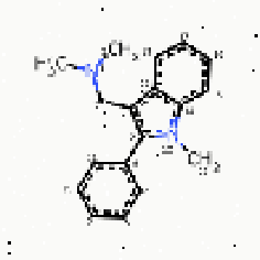 CN(C)Cc1c(-c2ccccc2)n(C)c2ccccc12